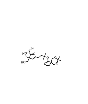 C=CC1(C(=O)OC(C)(C)CC/C=C/C(CO)(CO)C(=O)OC(C)(C)C)COC(C)(C)OC1